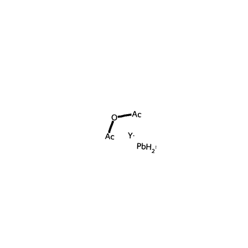 CC(=O)OC(C)=O.[PbH2].[Y]